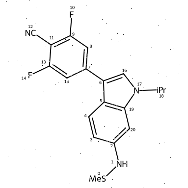 CSNc1ccc2c(-c3cc(F)c(C#N)c(F)c3)cn(C(C)C)c2c1